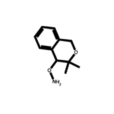 CC1(C)OCc2ccccc2C1ON